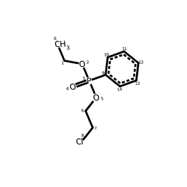 CCOP(=O)(OCCCl)c1ccccc1